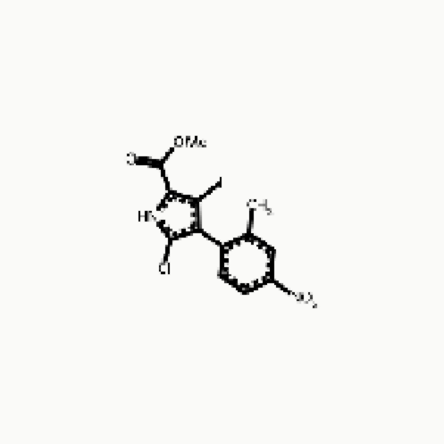 COC(=O)c1[nH]c(Cl)c(-c2ccc([N+](=O)[O-])cc2C)c1I